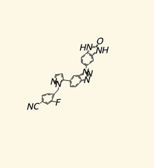 N#Cc1ccc(Cn2nccc2-c2ccc3nnn(-c4ccc5[nH]c(=O)[nH]c5c4)c3c2)c(F)c1